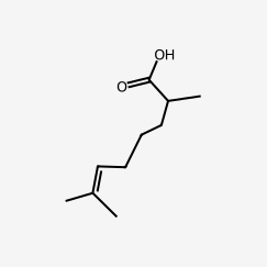 CC(C)=CCCCC(C)C(=O)O